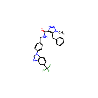 Cn1nnc(C(=O)NCc2ccc(-n3cnc4cc(C(F)(F)F)ccc43)cc2)c1Cc1ccccc1